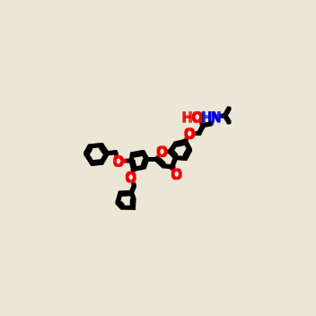 CC(C)NCC(O)COc1ccc2c(=O)cc(-c3ccc(OCc4ccccc4)c(OCc4ccccc4)c3)oc2c1